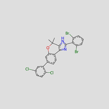 CC1(C)Oc2cc(-c3cc(Cl)ccc3Cl)ccc2-c2nc(-c3c(Br)cccc3Br)[nH]c21